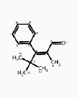 CC(C=O)=C(c1ccccc1)C(C)(C)C